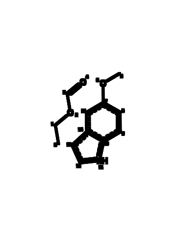 CCOC=O.COc1ccc2[nH]ccc2c1